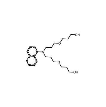 OCCCOCCCN(CCCOCCCO)c1cccc2ccccc12